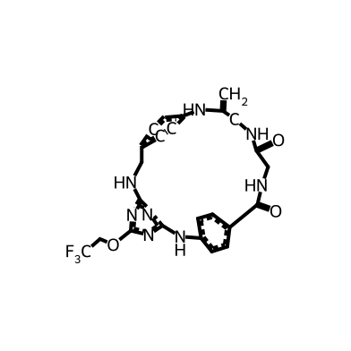 C=C1CNC(=O)CNC(=O)c2ccc(cc2)Nc2nc(nc(OCC(F)(F)F)n2)NCc2ccc(cc2)N1